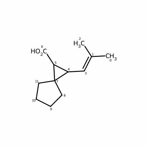 CC(C)=CC1C(C(=O)O)C12CCCC2